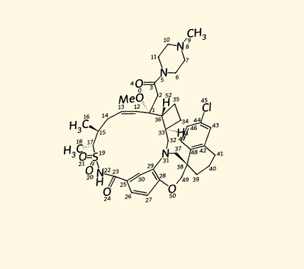 CO[C@@]1(CC(=O)N2CCN(C)CC2)/C=C/C[C@H](C)[C@@H](C)S(=O)(=O)NC(=O)c2ccc3c(c2)N(C[C@@H]2CC[C@H]21)C[C@@]1(CCCc2cc(Cl)ccc21)CO3